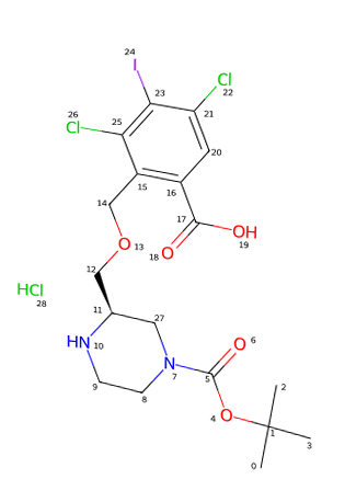 CC(C)(C)OC(=O)N1CCN[C@@H](COCc2c(C(=O)O)cc(Cl)c(I)c2Cl)C1.Cl